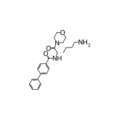 NCCCC[C@H](NC(=O)c1ccc(-c2ccccc2)cc1)C(=O)N1CCOCC1